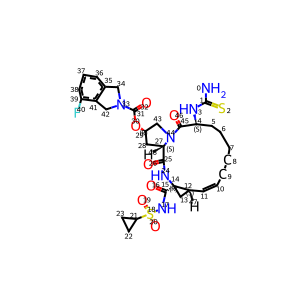 NC(=S)N[C@H]1CCCCCC=C[C@@H]2C[C@@]2(C(=O)NS(=O)(=O)C2CC2)NC(=O)[C@@H]2C[C@@H](OC(=O)N3Cc4cccc(F)c4C3)CN2C1=O